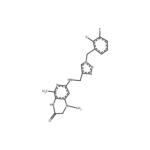 Cc1nc(NCc2cn(Cc3cccc(F)c3F)nn2)cc2c1NC(=O)CN2C